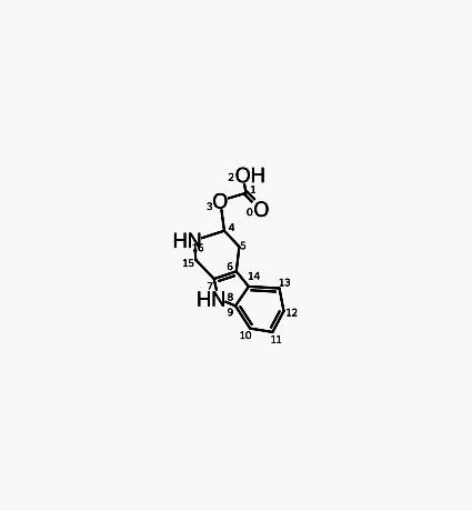 O=C(O)OC1Cc2c([nH]c3ccccc23)CN1